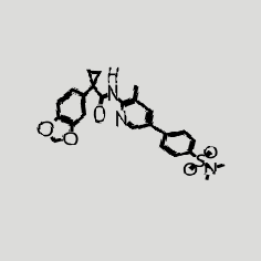 Cc1cc(-c2ccc(S(=O)(=O)N(C)C)cc2)cnc1NC(=O)C1(c2ccc3c(c2)OCO3)CC1